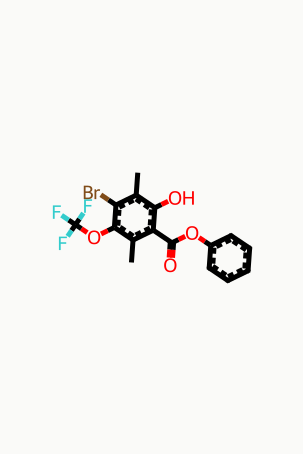 Cc1c(O)c(C(=O)Oc2ccccc2)c(C)c(OC(F)(F)F)c1Br